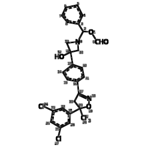 O=COC(c1ccccc1)N1CC(O)(c2ccc(C3=NOC(c4cc(Cl)cc(Cl)c4)(C(F)(F)F)C3)cc2)C1